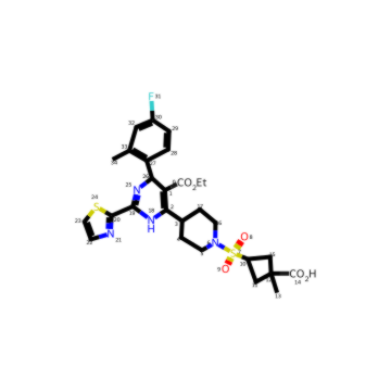 CCOC(=O)C1=C(C2CCN(S(=O)(=O)C3CC(C)(C(=O)O)C3)CC2)NC(c2nccs2)=NC1c1ccc(F)cc1C